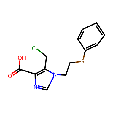 O=C(O)c1ncn(CCSc2ccccc2)c1CCl